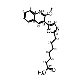 COc1nc2ccccc2cc1-c1cnc(CCCCCCC(=O)O)o1